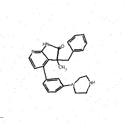 CC1(Cc2ccccc2)C(=O)Nc2nccc(-c3cccc(N4CCNCC4)c3)c21